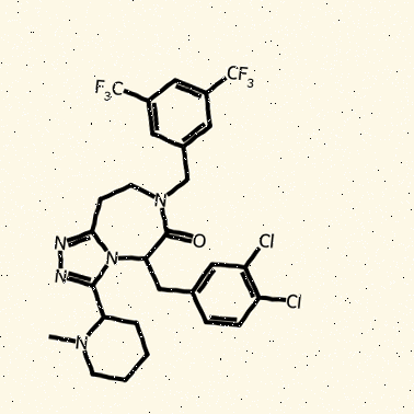 CN1CCCCC1c1nnc2n1C(Cc1ccc(Cl)c(Cl)c1)C(=O)N(Cc1cc(C(F)(F)F)cc(C(F)(F)F)c1)CC2